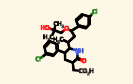 CC(CC(OCC(C)(C)O)c1ccc(Cl)cc1)C1NC(=O)C(CC(=O)O)CC1c1cccc(Cl)c1